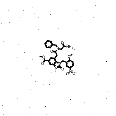 COC(=O)c1cc(CC(=O)N(CC(N)=O)Cc2ccccc2)c2c(c1)[nH]c(=O)n2Cc1cc([N+](=O)[O-])ccc1OC